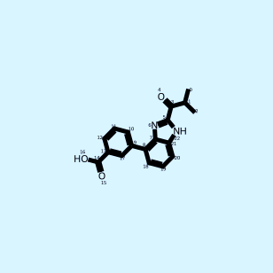 CC(C)C(=O)c1nc2c(-c3cccc(C(=O)O)c3)cccc2[nH]1